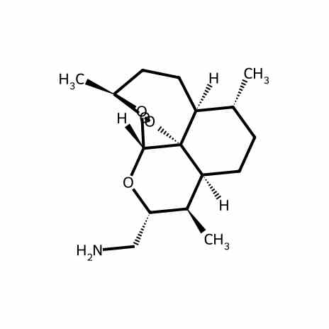 C[C@H]1[C@H](CN)O[C@@H]2O[C@@]3(C)CC[C@H]4[C@H](C)CC[C@@H]1[C@@]24OO3